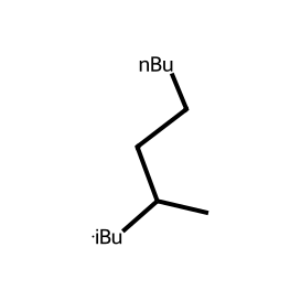 CCCCCCC(C)[C](C)CC